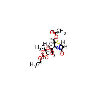 CCOC(=O)OC(C)(C)OC(=O)[C@@H]1N2C(=O)C[C@H]2S[C@@]1(C)COC(C)=O